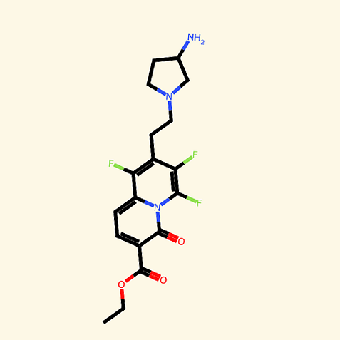 CCOC(=O)c1ccc2c(F)c(CCN3CCC(N)C3)c(F)c(F)n2c1=O